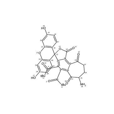 CC(C)(C)C(=O)c1c2c(c3c(c1C(=O)C(C)(C)C)C1(OC3=O)c3ccc(O)cc3Oc3cc(O)ccc31)C(=O)CCC(N)C2=O